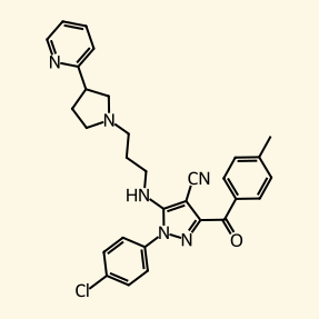 Cc1ccc(C(=O)c2nn(-c3ccc(Cl)cc3)c(NCCCN3CCC(c4ccccn4)C3)c2C#N)cc1